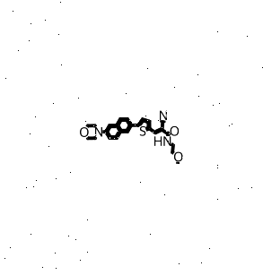 COCCNC(=O)/C(C#N)=C/c1ccc(-c2ccc3cc(N4CCOCC4)ccc3c2)s1